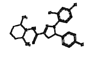 CC1CCCC(C)N1NC(=O)C1=NN(c2ccc(Cl)cc2Cl)C(c2ccc(Cl)cc2)C1